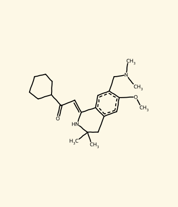 COc1cc2c(cc1CN(C)C)C(=CC(=O)C1CCCCC1)NC(C)(C)C2